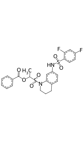 CC(OC(=O)c1ccccc1)S(=O)(=O)N1CCCc2ccc(NS(=O)(=O)c3ccc(F)cc3F)cc21